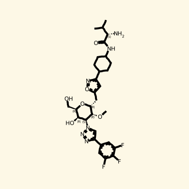 CO[C@@H]1[C@@H](n2cc(-c3cc(F)c(F)c(F)c3)nn2)[C@@H](O)[C@@H](CO)O[C@@H]1Cc1cc(C2CCC(NC(=O)[C@@H](N)C(C)C)CC2)no1